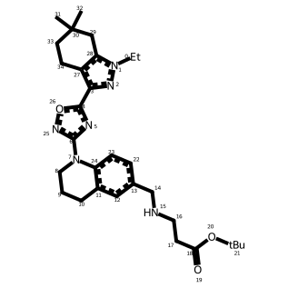 CCn1nc(-c2nc(N3CCCc4cc(CNCCC(=O)OC(C)(C)C)ccc43)no2)c2c1CC(C)(C)CC2